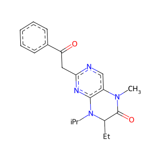 CCC1C(=O)N(C)c2cnc(CC(=O)c3ccccc3)nc2N1C(C)C